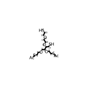 CC(=O)SCCOCC(OCCSC(C)=O)C(CS)OCCOCCS